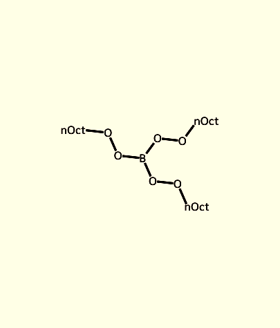 CCCCCCCCOOB(OOCCCCCCCC)OOCCCCCCCC